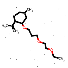 C=C(C)C1CCC(C)CC1OCCCOCCOCC